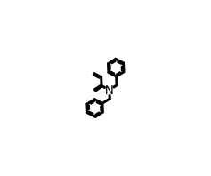 C=CC(=C)N(Cc1ccccc1)Cc1ccccc1